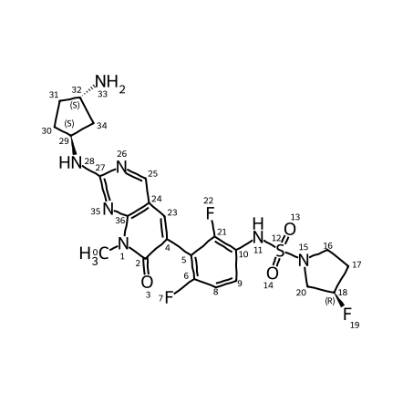 Cn1c(=O)c(-c2c(F)ccc(NS(=O)(=O)N3CC[C@@H](F)C3)c2F)cc2cnc(N[C@H]3CC[C@H](N)C3)nc21